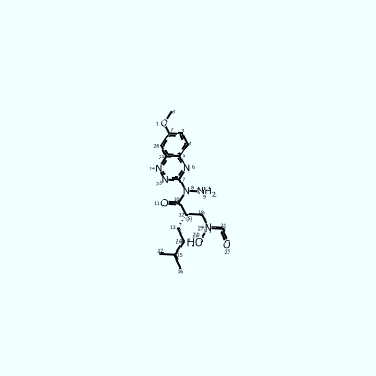 COc1ccc2nc(N(N)C(=O)[C@@H](CCC(C)C)CN(O)C=O)nnc2c1